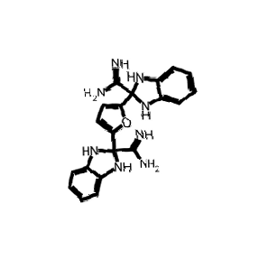 N=C(N)C1(c2ccc(C3(C(=N)N)Nc4ccccc4N3)o2)Nc2ccccc2N1